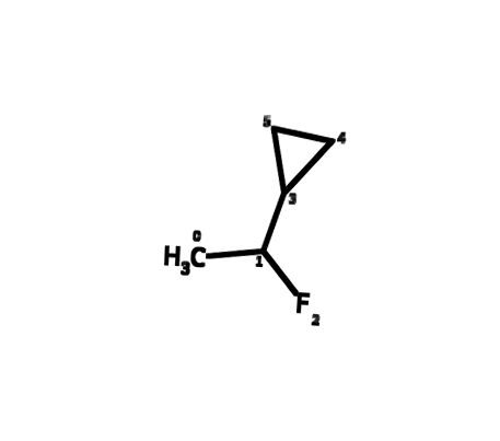 CC(F)C1CC1